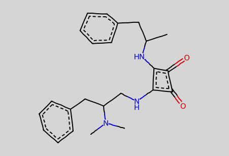 CC(Cc1ccccc1)Nc1c(NCC(Cc2ccccc2)N(C)C)c(=O)c1=O